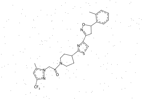 Cc1ccccc1C1CC(c2csc(C3CCN(C(=O)Cn4nc(C(F)(F)F)cc4C)CC3)n2)=NO1